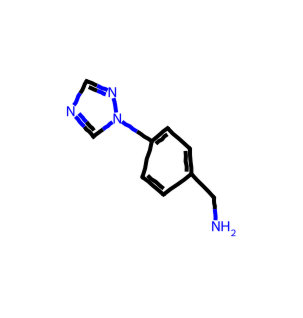 NCc1ccc(-n2cncn2)cc1